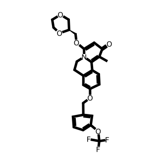 Cc1c2n(c(OC[C@@H]3COCCO3)cc1=O)CCc1cc(OCc3cccc(OC(F)(F)F)c3)ccc1-2